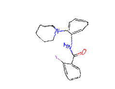 O=C(Nc1ccccc1N1CCCCC1)c1ccccc1I